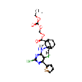 CCOC(=O)OCOC(=O)[C@H]1C2CCC(CC2)[C@@H]1Nc1nc(Br)nc(-c2cccs2)c1F